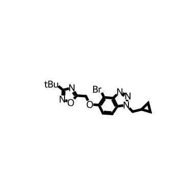 CC(C)(C)c1noc(COc2ccc3c(nnn3CC3CC3)c2Br)n1